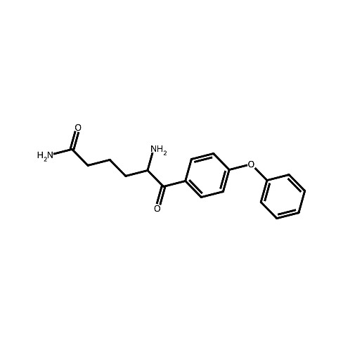 NC(=O)CCCC(N)C(=O)c1ccc(Oc2ccccc2)cc1